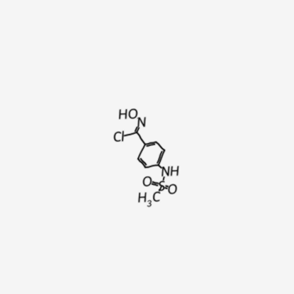 CS(=O)(=O)Nc1ccc(C(Cl)=NO)cc1